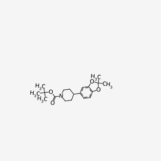 CC(C)(C)OC(=O)N1CCC(c2ccc3c(c2)OC(C)(C)O3)CC1